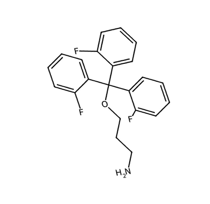 NCCCOC(c1ccccc1F)(c1ccccc1F)c1ccccc1F